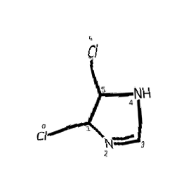 ClC1N=CNC1Cl